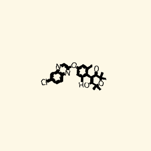 Cc1cc(Oc2cnc3cc(Cl)ccc3n2)cc(C)c1C1=C(O)C(C)(C)OC(C)(C)C1=O